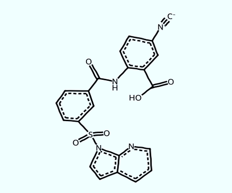 [C-]#[N+]c1ccc(NC(=O)c2cccc(S(=O)(=O)n3ccc4cccnc43)c2)c(C(=O)O)c1